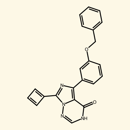 O=c1[nH]cnn2c(C3=CC=C3)nc(-c3cccc(OCc4ccccc4)c3)c12